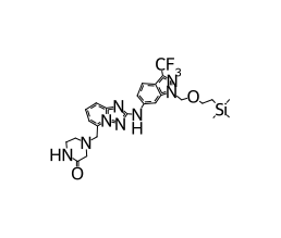 C[Si](C)(C)CCOCn1nc(C(F)(F)F)c2ccc(Nc3nc4cccc(CN5CCNC(=O)C5)n4n3)cc21